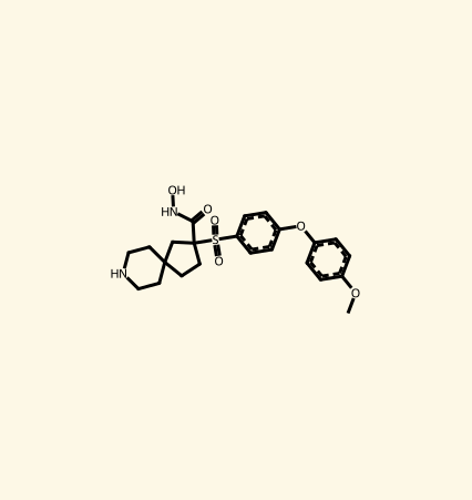 COc1ccc(Oc2ccc(S(=O)(=O)C3(C(=O)NO)CCC4(CCNCC4)C3)cc2)cc1